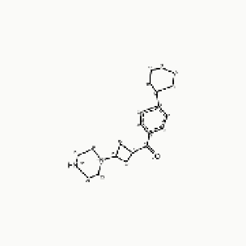 O=C(c1ccc(C2CCCCC2)cc1)C1CC(N2CCNCC2)C1